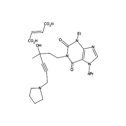 CCCn1cnc2c1c(=O)n(CCC(C)(O)C#CCN1CCCC1)c(=O)n2CC.O=C(O)C=CC(=O)O